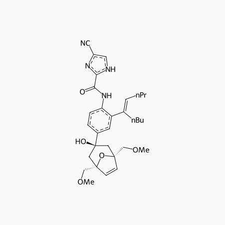 CCC/C=C(\CCCC)c1cc([C@]2(O)C[C@@]3(COC)C=C[C@@](COC)(C2)O3)ccc1NC(=O)c1nc(C#N)c[nH]1